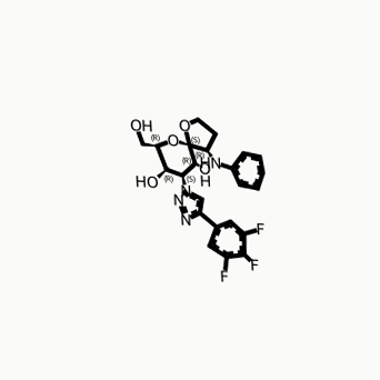 OC[C@H]1O[C@]2(OCC[C@H]2Nc2ccccc2)[C@H](O)[C@@H](n2cc(-c3cc(F)c(F)c(F)c3)nn2)[C@H]1O